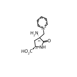 N[C@@]1(C[n+]2ccccc2)C[C@H](C(=O)O)NC1=O